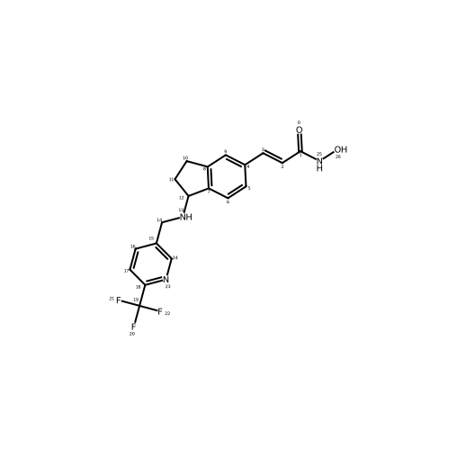 O=C(C=Cc1ccc2c(c1)CCC2NCc1ccc(C(F)(F)F)nc1)NO